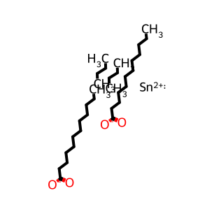 CCCC.CCCC.CCCCCCCCCCCC(=O)[O-].CCCCCCCCCCCC(=O)[O-].[Sn+2]